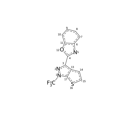 FC(F)(F)n1nc(-c2nc3ccccc3o2)c2c[c]sc21